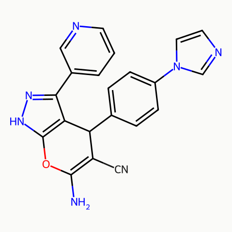 N#CC1=C(N)Oc2[nH]nc(-c3cccnc3)c2C1c1ccc(-n2ccnc2)cc1